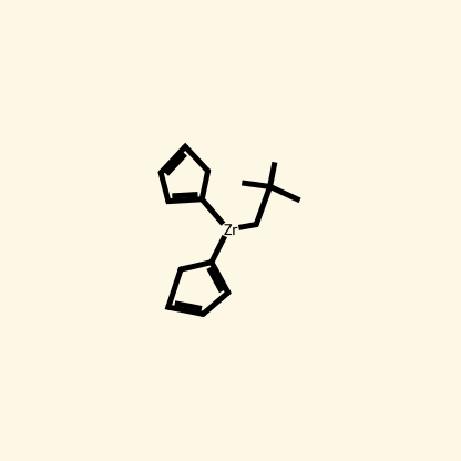 CC(C)(C)[CH2][Zr]([C]1=CC=CC1)[C]1=CC=CC1